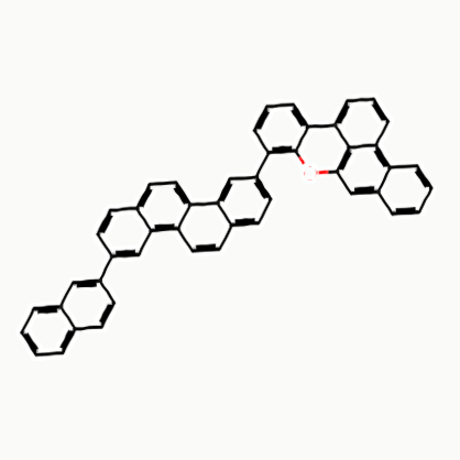 c1cc(-c2ccc3ccc4c5cc(-c6ccc7ccccc7c6)ccc5ccc4c3c2)c2c(c1)-c1cccc3c1c(cc1ccccc13)O2